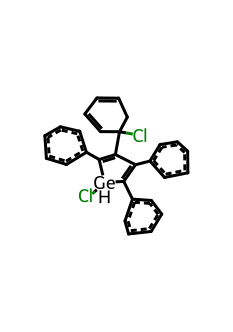 [Cl][GeH]1[C](c2ccccc2)=C(c2ccccc2)C(C2(Cl)C=CC=CC2)=[C]1c1ccccc1